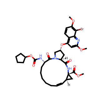 COC(=O)[C@@]12C[C@H]1/C=C\CCCCC[C@H](NC(=O)OC1CCCC1)C(=O)N1C[C@H](Oc3cc(OC)nc4c(Br)c(OC)ccc34)C[C@H]1C(=O)N2